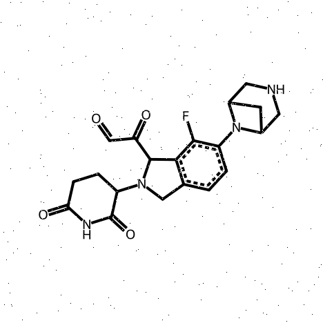 O=CC(=O)C1c2c(ccc(N3C4CNCC3C4)c2F)CN1C1CCC(=O)NC1=O